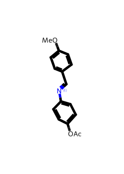 COc1ccc(/C=N/c2ccc(OC(C)=O)cc2)cc1